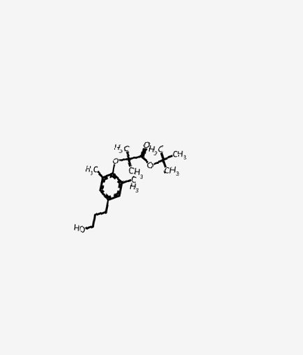 Cc1cc(CCCO)cc(C)c1OC(C)(C)C(=O)OC(C)(C)C